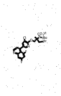 CC(C)CC(C)(COc1ncc(-c2ccnc3cc(F)cc(F)c23)cc1Cl)N(C(=O)O)C(C)(C)C